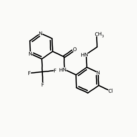 CCNc1nc(Cl)ccc1NC(=O)c1cncnc1C(F)(F)F